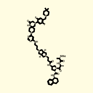 CN[C@@H](C)C(=O)N[C@@H](C)C(=O)N1CC(NC(=O)CCN2C[C@H]3CN(CCCNc4cc(N5CCC6(CC5)CN(c5cc(F)c(CN7CCC(C)(C)CC7)cc5F)CC(=O)N6)ncn4)C[C@H]3C2)C[C@H]1C(=O)N[C@H]1CCCc2ccccc21